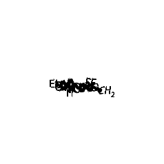 C=CCCOc1ccc(-c2ccc(OCc3ccc(-c4ccc(OCC)cc4)c(F)c3F)cc2)c(F)c1F